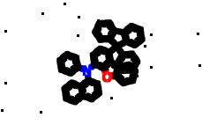 c1ccc(N(c2cccc3ccccc23)c2ccc(C3(c4ccccc4)c4ccccc4-c4ccccc43)c3c2oc2ccccc23)cc1